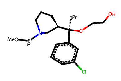 CCC[C@](OCCO)(c1cccc(Cl)c1)[C@@H]1CCCN(BOC)C1